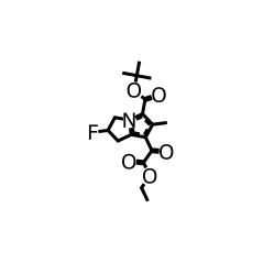 CCOC(=O)C(=O)c1c(C)c(C(=O)OC(C)(C)C)n2c1CC(F)C2